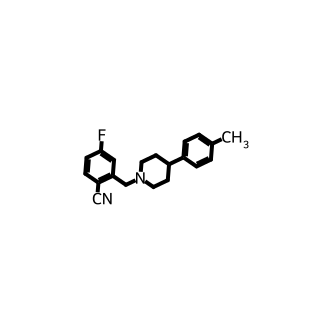 Cc1ccc(C2CCN(Cc3cc(F)ccc3C#N)CC2)cc1